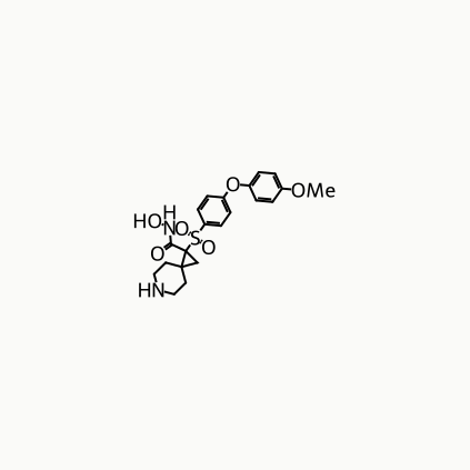 COc1ccc(Oc2ccc(S(=O)(=O)C3(C(=O)NO)CC34CCNCC4)cc2)cc1